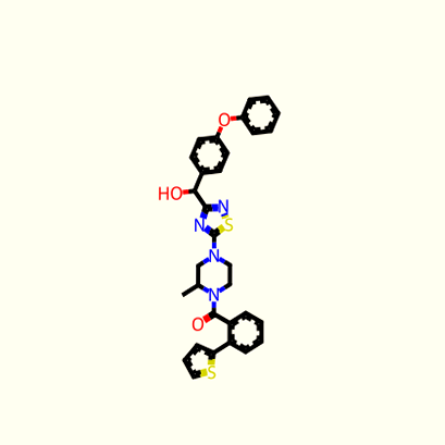 CC1CN(c2nc(C(O)c3ccc(Oc4ccccc4)cc3)ns2)CCN1C(=O)c1ccccc1-c1cccs1